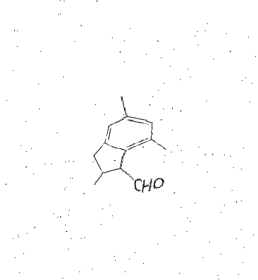 Cc1cc(C)c2c(c1)CC(C)C2C=O